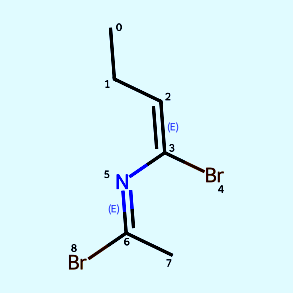 CC/C=C(Br)\N=C(/C)Br